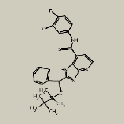 CC(C)(C)[Si](C)(C)OC(c1ccccc1)c1nc2nccc(C(=S)Nc3ccc(F)c(Cl)c3)c2[nH]1